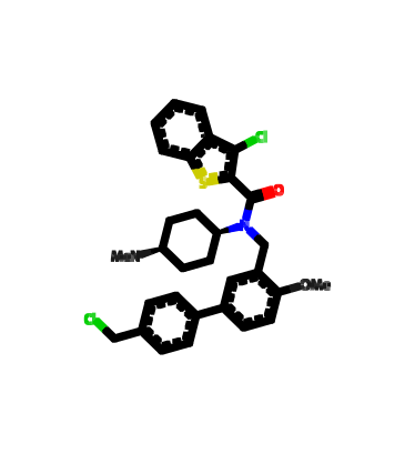 CN[C@H]1CC[C@@H](N(Cc2cc(-c3ccc(CCl)cc3)ccc2OC)C(=O)c2sc3ccccc3c2Cl)CC1